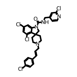 O=C(NCc1ccnc(Cl)c1)N1CC2(CCN(CC=Cc3ccc(Cl)cc3)CC2)c2c(Cl)cc(Cl)cc21